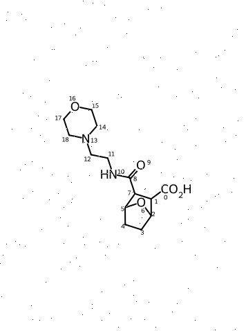 O=C(O)C1C2CCC(O2)C1C(=O)NCCN1CCOCC1